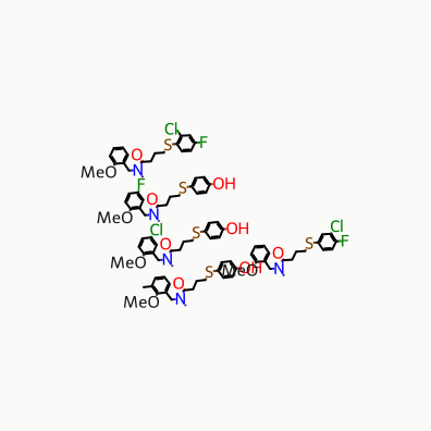 COc1c(C)cccc1CN(C)C(=O)CCCSc1ccc(O)cc1.COc1ccc(Cl)cc1CN(C)C(=O)CCCSc1ccc(O)cc1.COc1ccc(F)cc1CN(C)C(=O)CCCSc1ccc(O)cc1.COc1ccccc1CN(C)C(=O)CCCSc1ccc(F)c(Cl)c1.COc1ccccc1CN(C)C(=O)CCCSc1ccc(F)cc1Cl